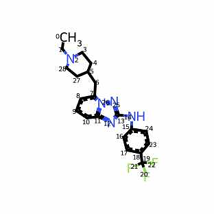 CCN1CCC(Cc2cccc3nc(Nc4ccc(C(F)(F)F)cc4)nn23)CC1